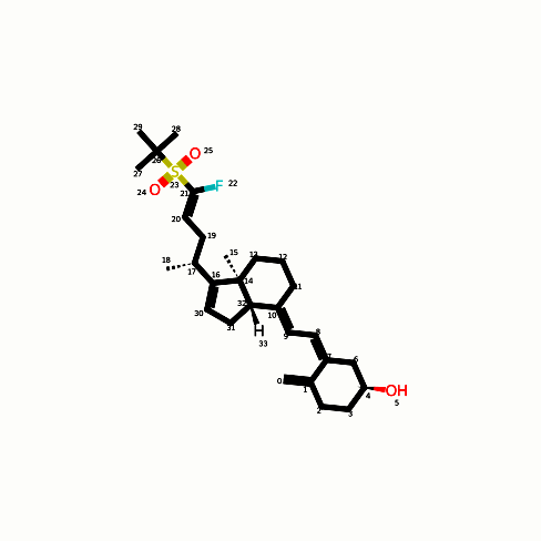 C=C1CC[C@H](O)C/C1=C/C=C1\CCC[C@]2(C)C([C@H](C)C/C=C(\F)S(=O)(=O)C(C)(C)C)=CC[C@@H]12